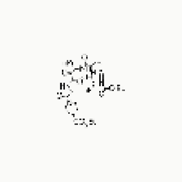 CCCC(NC(=O)[C@@H]1CCCN1C(=O)[C@@H](NC(=O)OCC(C)C)C(C)C)C(=O)C(=O)NCC(=O)N1CCC(C(=O)OCC)CC1